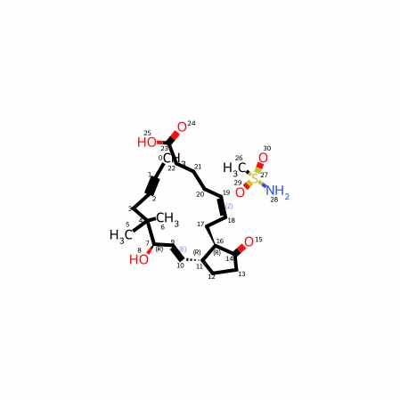 CC#CCC(C)(C)[C@H](O)/C=C/[C@H]1CCC(=O)[C@@H]1C/C=C\CCCC(=O)O.CS(N)(=O)=O